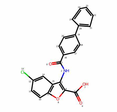 O=C(Nc1c(C(=O)O)oc2ccc(Cl)cc12)c1ccc(-c2ccccc2)cc1